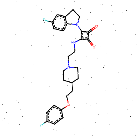 O=c1c(NCCN2CCC(CCOc3ccc(F)cc3)CC2)c(N2CCc3cc(F)ccc32)c1=O